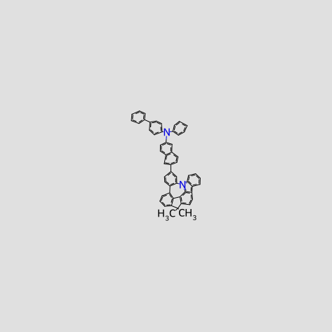 CC1(C)c2cccc3c2-c2c1ccc1c4ccccc4n(c21)-c1cc(-c2ccc4cc(N(c5ccccc5)c5ccc(-c6ccccc6)cc5)ccc4c2)ccc1-3